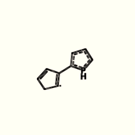 [C]1=C(c2ccc[pH]2)C=CC1